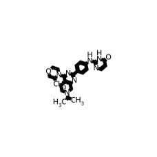 CC(C)N1CCc2c(nc(-c3ccc(Nc4nccc(=O)[nH]4)cc3)nc2N2CCOCC2C)C1